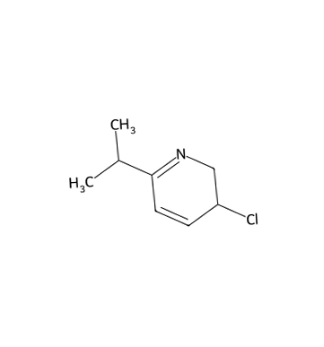 CC(C)C1=NCC(Cl)C=C1